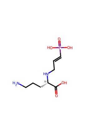 NCCC[C@H](NCC=CP(=O)(O)O)C(=O)O